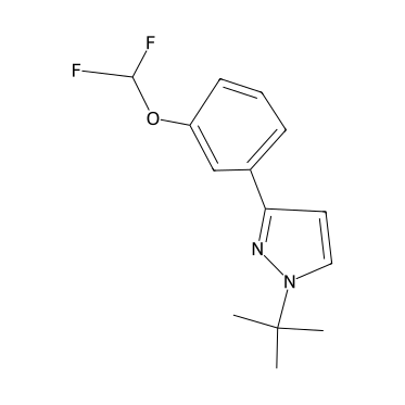 CC(C)(C)n1ccc(-c2cccc(OC(F)F)c2)n1